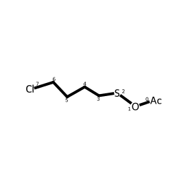 CC(=O)OSCCCCCl